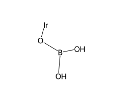 OB(O)[O][Ir]